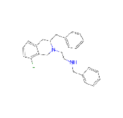 Fc1cccc2c1CN(CCNCc1ccccc1)C(Cc1ccccc1)C2